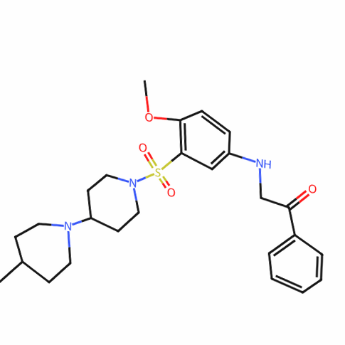 COc1ccc(NCC(=O)c2ccccc2)cc1S(=O)(=O)N1CCC(N2CCC(C)CC2)CC1